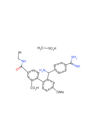 COc1ccc(-c2ccc(C(=O)NCC(C)C)cc2C(=O)O)c(C(N)c2ccc(C(=N)N)cc2)c1.CS(=O)(=O)O